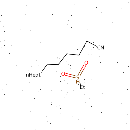 CCCCCCCCCCCCC#N.CC[SH](=O)=O